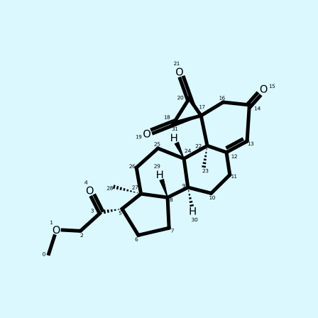 COCC(=O)[C@H]1CC[C@H]2[C@@H]3CCC4=CC(=O)CC5(C(=O)C5=O)[C@]4(C)[C@H]3CC[C@]12C